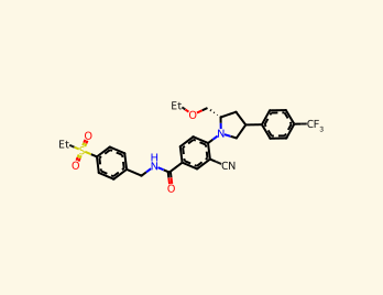 CCOC[C@@H]1CC(c2ccc(C(F)(F)F)cc2)CN1c1ccc(C(=O)NCc2ccc(S(=O)(=O)CC)cc2)cc1C#N